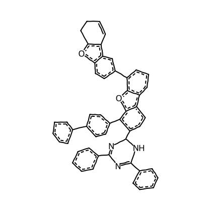 C1=Cc2c(oc3ccc(-c4cccc5c4oc4c(-c6ccc(-c7ccccc7)cc6)c(C6N=C(c7ccccc7)N=C(c7ccccc7)N6)ccc45)cc23)CC1